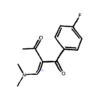 CC(=O)/C(=C\N(C)C)C(=O)c1ccc(F)cc1